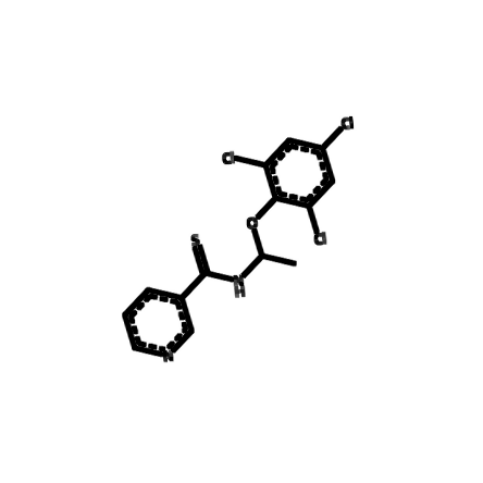 CC(NC(=S)c1cccnc1)Oc1c(Cl)cc(Cl)cc1Cl